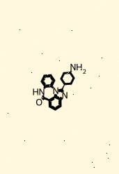 N[C@H]1CC[C@@H](c2nc3cccc4c3n2-c2ccccc2NC4=O)CC1